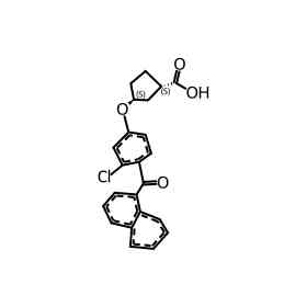 O=C(c1ccc(O[C@H]2CC[C@H](C(=O)O)C2)cc1Cl)c1cccc2ccccc12